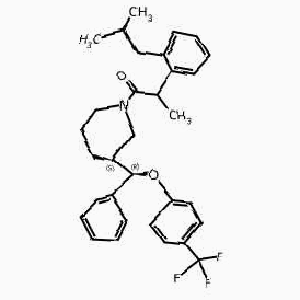 CC(C)Cc1ccccc1C(C)C(=O)N1CCC[C@H]([C@@H](Oc2ccc(C(F)(F)F)cc2)c2ccccc2)C1